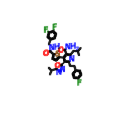 CC(C)Cc1nc(CCc2ccc(F)cc2)c(-c2nnc(C(C)C)o2)c(-c2ccc(C(=O)NCc3ccc(F)c(F)c3)s2)c1C(N)=O